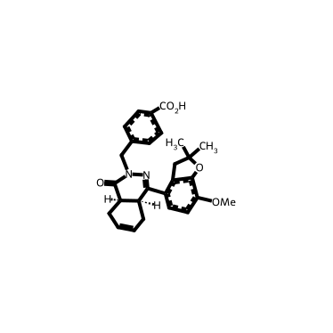 COc1ccc(C2=NN(Cc3ccc(C(=O)O)cc3)C(=O)[C@@H]3CC=CC[C@H]23)c2c1OC(C)(C)C2